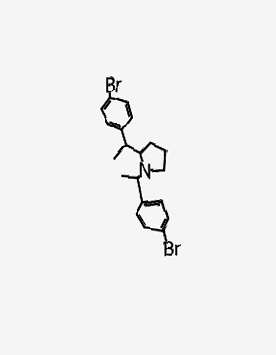 CC(c1ccc(Br)cc1)C1CCCN1C(C)c1ccc(Br)cc1